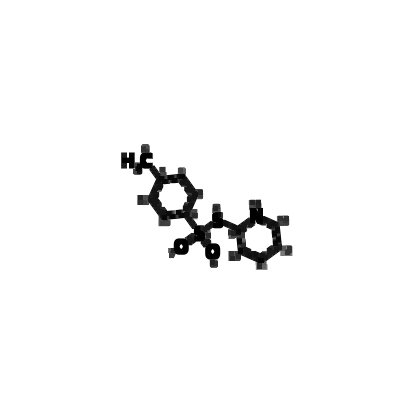 Cc1ccc(S(=O)(=O)Sc2ccccn2)cc1